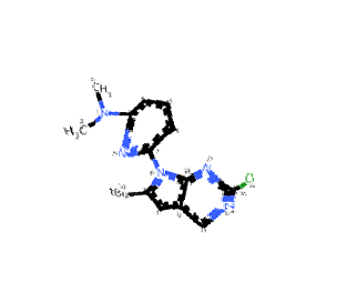 CN(C)c1cccc(-n2c(C(C)(C)C)cc3cnc(Cl)nc32)n1